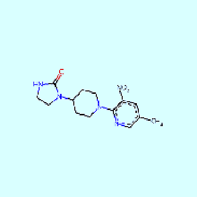 Cc1cnc(N2CCC(N3CCNC3=O)CC2)c([N+](=O)[O-])c1